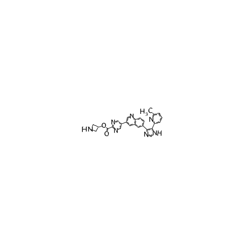 Cc1cccc(-c2[nH]cnc2-c2ccc3ncc(-c4cnc(C(=O)OC5CNC5)nc4)cc3c2)n1